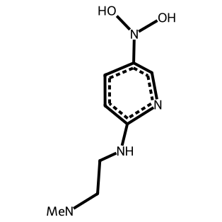 CNCCNc1ccc(N(O)O)cn1